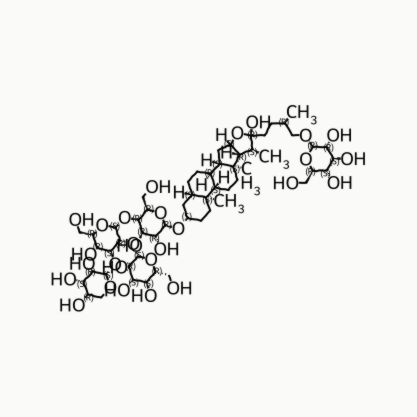 C[C@H](CC[C@@]1(O)O[C@H]2C[C@H]3[C@@H]4CC[C@H]5C[C@@H](O[C@@H]6O[C@H](CO)[C@H](O[C@@H]7O[C@H](CO)[C@@H](O)[C@H](O[C@@H]8OC[C@@H](O)[C@H](O)[C@H]8O)[C@H]7O[C@@H]7O[C@H](CO)[C@@H](O)[C@H](O)[C@H]7O)[C@H](O)[C@H]6O)CC[C@]5(C)[C@H]4CC[C@]3(C)[C@H]2[C@@H]1C)CO[C@@H]1O[C@H](CO)[C@@H](O)[C@H](O)[C@H]1O